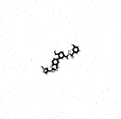 CCc1ccc(C(C)NC(=O)c2cccc(C)c2)cc1-c1ccc2nc(Nc3cnn(C)c3)ncc2c1